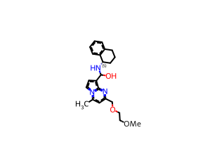 COCCOCc1cc(C)n2ccc(C(O)N[C@H]3CCCc4ccccc43)c2n1